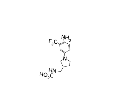 Nc1ccc(N2CCC(CNC(=O)O)C2)cc1C(F)(F)F